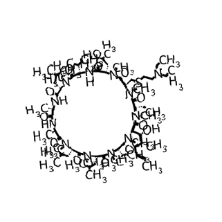 C/C=C/C[C@@H](C)[C@@H](O)[C@H]1C(=O)N(C)[C@@H](CC)C(=O)N(C)[C@H](CSCCN(CC)CC)C(=O)N(C)[C@@H](CC(C)(C)O)C(=O)N[C@@H](C(C)C)C(=O)N(C)[C@@H](CC(C)C)C(=O)N[C@@H](C)C(=O)N[C@H](C)C(=O)N(C)[C@@H](CC(C)C)C(=O)N(C)[C@@H](CC(C)C)C(=O)N(C)[C@@H](C(C)C)C(=O)N1C